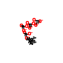 [Al+3].[Al+3].[Mg+2].[O]=[Ti]([O-])[O-].[O]=[Ti]([O-])[O-].[O]=[Ti]([O-])[O-].[O]=[Ti]([O-])[O-]